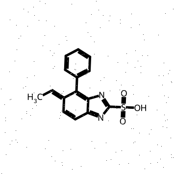 CC=c1ccc2c(c1-c1ccccc1)N=C(S(=O)(=O)O)N=2